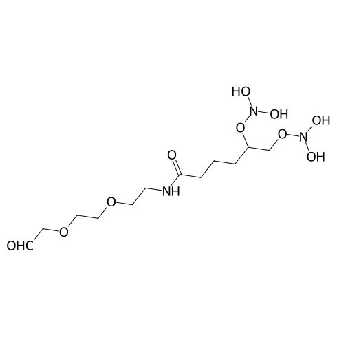 O=CCOCCOCCNC(=O)CCCC(CON(O)O)ON(O)O